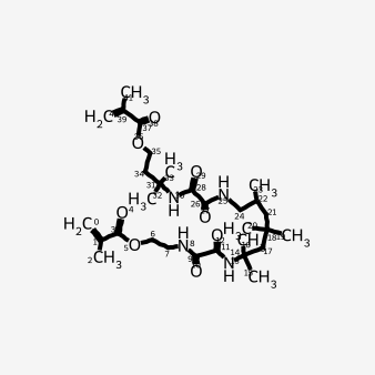 C=C(C)C(=O)OCCNC(=O)C(=O)NC(C)(C)CC(C)(C)CC(C)CNC(=O)C(=O)NC(C)(C)CCOC(=O)C(=C)C